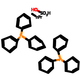 CCCC.O=S(=O)(O)O.c1ccc(P(c2ccccc2)c2ccccc2)cc1.c1ccc(P(c2ccccc2)c2ccccc2)cc1